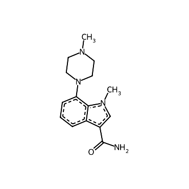 CN1CCN(c2cccc3c(C(N)=O)cn(C)c23)CC1